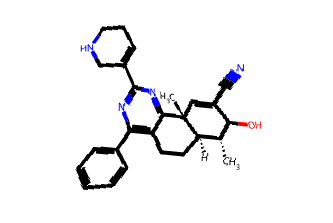 C[C@H]1C(O)C(C#N)=C[C@@]2(C)c3nc(C4=CCCNC4)nc(-c4ccccc4)c3CC[C@H]12